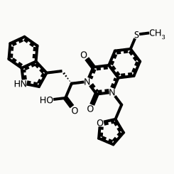 CSc1ccc2c(c1)c(=O)n([C@@H](Cc1c[nH]c3ccccc13)C(=O)O)c(=O)n2Cc1ccco1